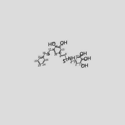 Oc1cc(CNC(=S)/C=C/c2cc(O)c(O)c(CSCc3ccccc3)c2)cc(O)c1O